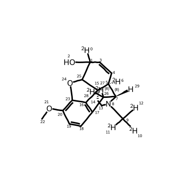 [2H]C1(O)C=C[C@@]2([2H])[C@@H]3N(C([2H])([2H])[2H])CC[C@@]24c2c(ccc(OC)c2OC14)C3([2H])[2H]